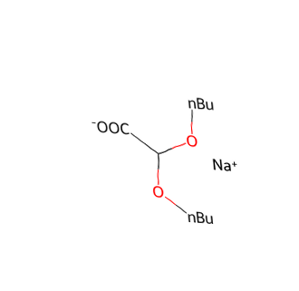 CCCCOC(OCCCC)C(=O)[O-].[Na+]